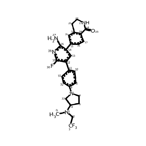 CN(CC(F)(F)F)C1CCN(c2ccc(-c3cc(-c4ccc5c(c4)CCNC5=O)c(N)nc3F)cc2)C1